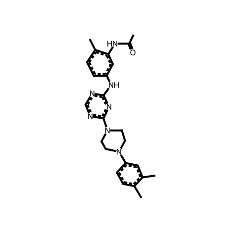 CC(=O)Nc1cc(Nc2ncnc(N3CCN(c4ccc(C)c(C)c4)CC3)n2)ccc1C